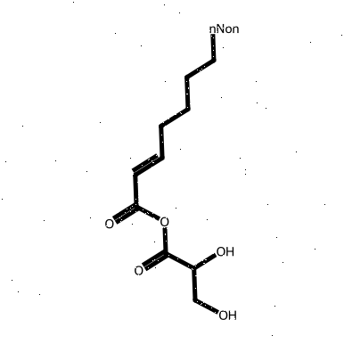 CCCCCCCCCCCCC/C=C/C(=O)OC(=O)C(O)CO